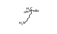 CCCCC(C)(CCC)CCCCCN